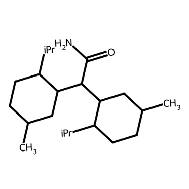 CC1CCC(C(C)C)C(C(C(N)=O)C2CC(C)CCC2C(C)C)C1